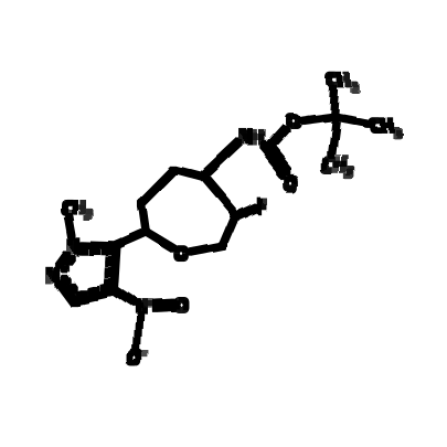 Cn1ncc([N+](=O)[O-])c1C1CCC(NC(=O)OC(C)(C)C)C(F)CO1